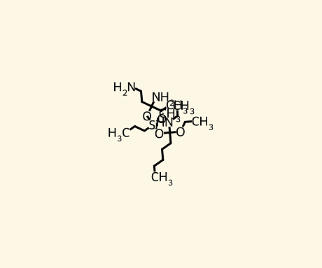 CCCCCC(NCC)(OCC)O[Si](CCC)(OC)OC(N)(CC)CCN